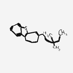 CCC(C)(C)CCC1=Cc2sc3ccccc3c2C=CC1